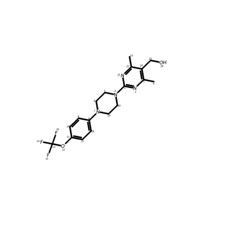 Cc1nc(N2CCN(c3ccc(OC(F)(F)F)cc3)CC2)nc(C)c1CO